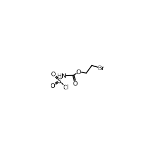 O=C(NS(=O)(=O)Cl)OCCBr